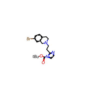 CC(C)(C)OC(=O)n1ccnc1CCN1CCc2ccc(Br)cc2C1